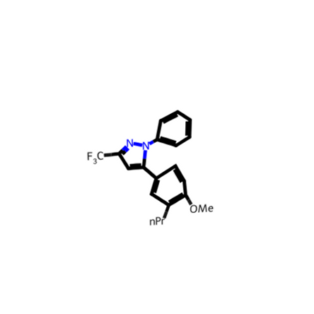 CCCc1cc(-c2cc(C(F)(F)F)nn2-c2ccccc2)ccc1OC